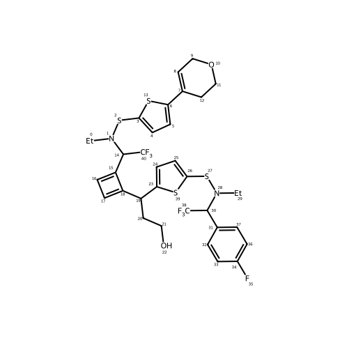 CCN(Sc1ccc(C2=CCOCC2)s1)C(C1=CC=C1C(CCO)c1ccc(SN(CC)C(c2ccc(F)cc2)C(F)(F)F)s1)C(F)(F)F